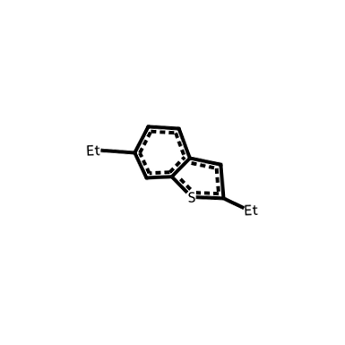 CCc1ccc2cc(CC)sc2c1